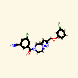 N#Cc1cc(F)cc(C(=O)N2CCn3nc(COc4cccc(F)c4)cc3C2)c1